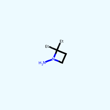 CCC1(CC)CCN1N